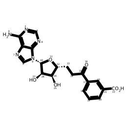 Nc1ncnc2c1ncn2[C@@H]1O[C@H](CCC(=O)c2cccc(C(=O)O)c2)[C@@H](O)[C@H]1O